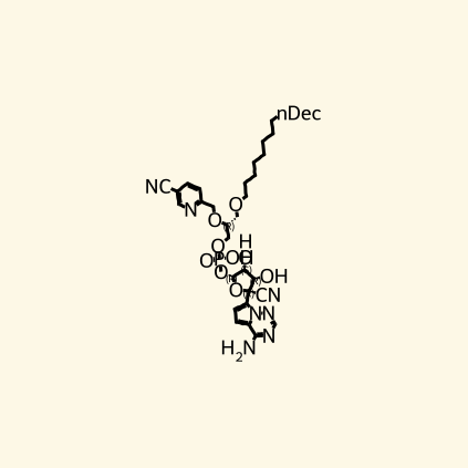 CCCCCCCCCCCCCCCCCCOC[C@H](COP(=O)(O)O[C@H]1O[C@@](C#N)(c2ccc3c(N)ncnn23)[C@H](O)[C@@H]1O)OCc1ccc(C#N)cn1